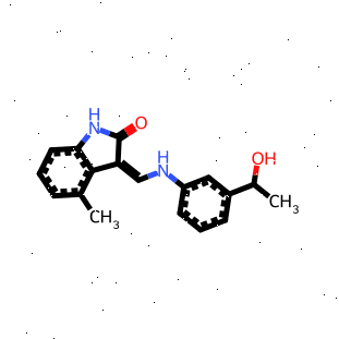 Cc1cccc2c1C(=CNc1cccc(C(C)O)c1)C(=O)N2